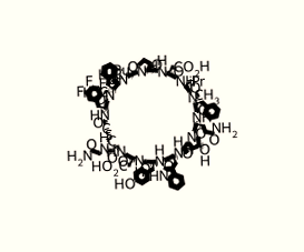 CCCC[C@H]1C(=O)N2CCC[C@@H]2C(=O)N[C@@H](CC(=O)O)C(=O)N[C@@H](C(C)C)C(=O)N(C)[C@@H](Cc2ccccc2)C(=O)N[C@@H](CCC(N)=O)C(=O)N2C[C@H](O)C[C@H]2C(=O)N[C@@H](Cc2c[nH]c3ccccc23)C(=O)N[C@@H](Cc2ccc(O)cc2)C(=O)N[C@@H](CC(=O)O)C(=O)N[C@H](C(=O)NCC(N)=O)CSCC(=O)N[C@@H](Cc2cc(F)c(F)c(F)c2)C(=O)N(C)[C@@H](Cc2ccccc2)C(=O)N1C